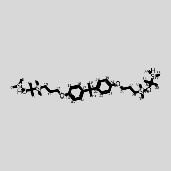 C[SiH](C)OC(C)(C)[Si](C)(C)CCCOc1ccc(C(C)(C)c2ccc(OCCC[Si](C)(C)OC(C)(C)[SiH](C)C)cc2)cc1